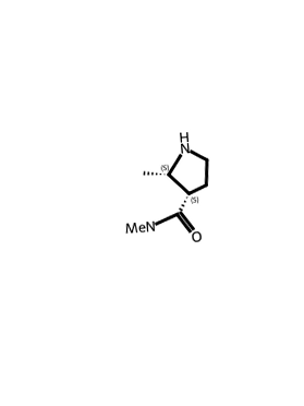 CNC(=O)[C@H]1CCN[C@H]1C